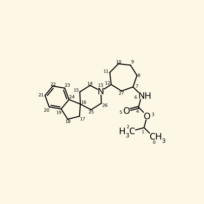 CC(C)OC(=O)NC1CCCCC(N2CCC3(CCc4ccccc43)CC2)C1